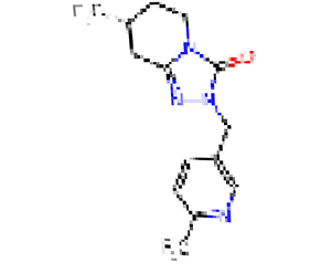 O=c1n(Cc2ccc(C(F)(F)F)nc2)nc2n1CC[C@@H](C(F)(F)F)C2